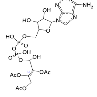 CC(=O)OC/C(OC(C)=O)=C(\OC(C)=O)C(O)OP(=O)(O)OP(=O)(O)OCC1OC(n2cnc3c(N)ncnc32)C(O)C1O